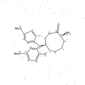 COc1ccc(O[C@H]2[C@H](C)OC(=O)[C@@H](N)CCC[C@@H]2Oc2ccc(OC)cc2)cc1